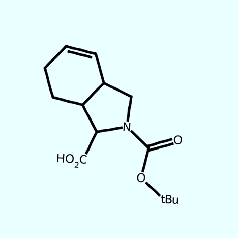 CC(C)(C)OC(=O)N1CC2C=CCCC2C1C(=O)O